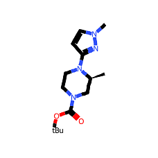 C[C@H]1CN(C(=O)OC(C)(C)C)CCN1c1ccn(C)n1